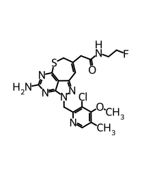 COc1c(C)cnc(Cn2nc3c4c(nc(N)nc42)SCC(CC(=O)NCCF)=C3)c1Cl